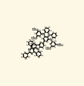 CC(C)(C)c1cc(N2c3ccccc3B3c4ccccc4N(c4cc(C(C)(C)C)cc(C(C)(C)C)c4)c4cc(-c5ccc6c(c5)c5ccccc5n6-c5ccccc5-c5cc(-c6ccccc6)nc(-c6ccccc6)c5)cc2c43)cc(C(C)(C)C)c1